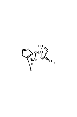 C=CC=C.C[C](C)(C)[Ti+2][C]1=CC=CC1.C[N-]C.C[N-]C